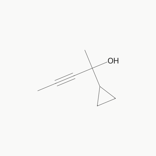 CC#CC(C)(O)C1CC1